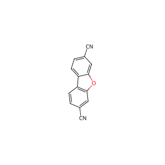 N#Cc1ccc2c(c1)oc1cc(C#N)ccc12